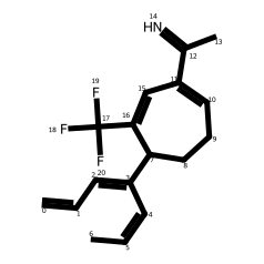 C=C/C=C(\C=C/C)C1CCC=C(C(C)=N)C=C1C(F)(F)F